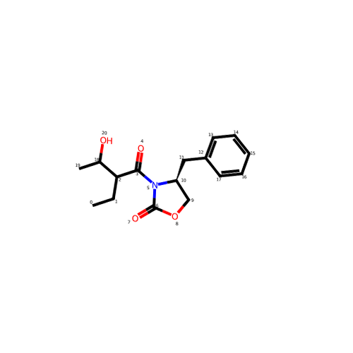 CCC(C(=O)N1C(=O)OC[C@@H]1Cc1ccccc1)C(C)O